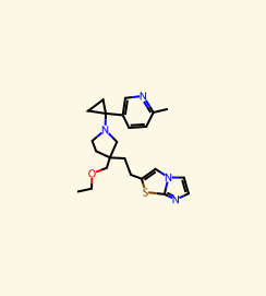 CCOCC1(CCc2cn3ccnc3s2)CCN(C2(c3ccc(C)nc3)CC2)C1